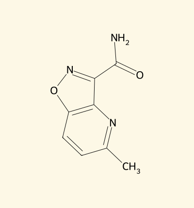 Cc1ccc2onc(C(N)=O)c2n1